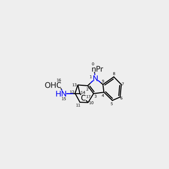 CCCn1c2c(c3ccccc31)C1CCC2C(NC=O)C1